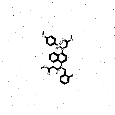 COC(=O)C[C@H](C)N(Cc1ccccc1F)c1ccc(N(CC(=O)OC)S(=O)(=O)c2ccc(OC)cc2)c2ccccc12